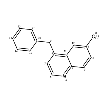 Oc1ccc2nccc(Cc3ccccc3)c2c1